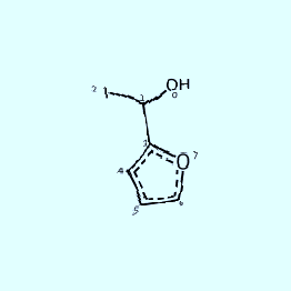 OC(I)c1ccco1